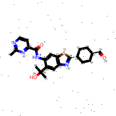 Cc1nccc(C(=O)Nc2cc3sc([C@H]4CC[C@H](C=O)CC4)nc3cc2C(C)(C)O)n1